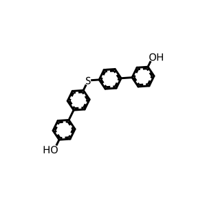 Oc1ccc(-c2ccc(Sc3ccc(-c4cccc(O)c4)cc3)cc2)cc1